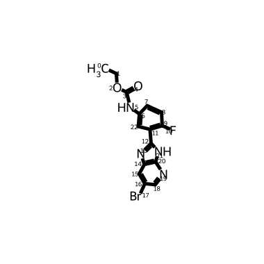 CCOC(=O)Nc1ccc(F)c(-c2nc3cc(Br)cnc3[nH]2)c1